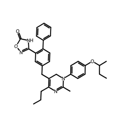 CCCC1=C(Cc2ccc(-c3ccccc3)c(-c3noc(=O)[nH]3)c2)CN(c2ccc(OC(C)CC)cc2)C(C)=N1